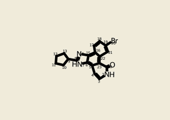 O=c1[nH]ccc2c3[nH]c(C4CCCC4)nc3c3ccc(Br)cc3c12